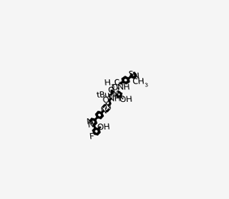 Cc1ncsc1-c1ccc([C@H](C)NC(=O)[C@@H]2C[C@@H](O)CN2C(=O)[C@@H](NC(=O)CN2CCN(c3ccc(-c4cnnc(-c5cc(F)ccc5O)c4)cc3)CC2)C(C)(C)C)cc1